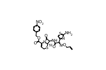 C=CCO/N=C(/C(=O)NC1C(=O)N2C(C(=O)OCc3ccc([N+](=O)[O-])cc3)=CCS[C@H]12)c1csc(N)n1